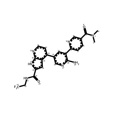 CN(C)C(=O)c1ccc(-c2cc(-c3ccnc4[nH]c(C(=O)NCC(F)(F)F)cc34)cnc2N)nc1